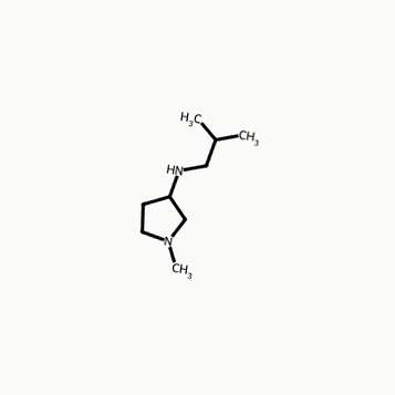 CC(C)CNC1CCN(C)C1